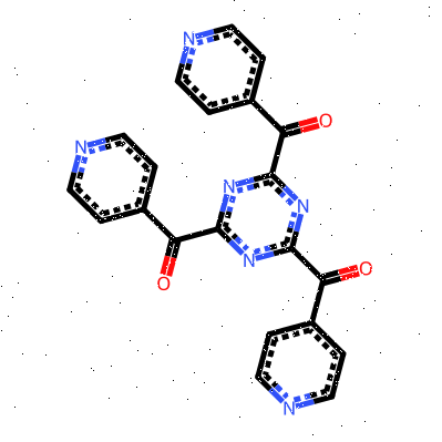 O=C(c1ccncc1)c1nc(C(=O)c2ccncc2)nc(C(=O)c2ccncc2)n1